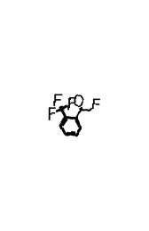 O=C(CF)c1ccccc1C(F)(F)F